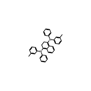 Cc1cccc(N(C2=c3ccccc3=C(N(c3ccccc3)c3cccc(C)c3)CC2)c2ccccc2)c1